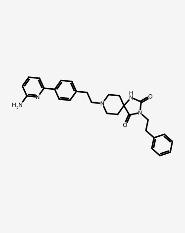 Nc1cccc(-c2ccc(CCN3CCC4(CC3)NC(=O)N(CCc3ccccc3)C4=O)cc2)n1